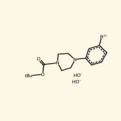 [B+2]c1cccc(N2CCN(C(=O)OC(C)(C)C)CC2)c1.[OH-].[OH-]